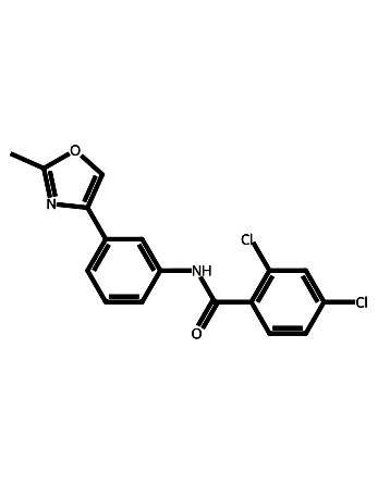 Cc1nc(-c2cccc(NC(=O)c3ccc(Cl)cc3Cl)c2)co1